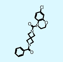 O=C(c1ccccc1)N1CC2(C1)CN(C(=O)N1CCOc3cc(Cl)ccc31)C2